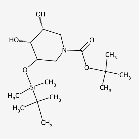 CC(C)(C)OC(=O)N1CC(O[Si](C)(C)C(C)(C)C)[C@H](O)[C@H](O)C1